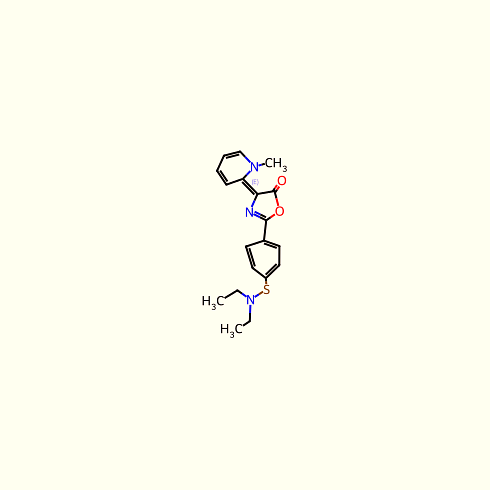 CCN(CC)Sc1ccc(C2=N/C(=C3\C=CC=CN3C)C(=O)O2)cc1